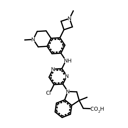 CN1CCc2c(cc(Nc3ncc(Cl)c(N4CC(C)(CC(=O)O)c5ccccc54)n3)cc2C2CN(C)C2)C1